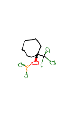 ClP(Cl)OC1(C(Cl)(Cl)Cl)CCCCC1